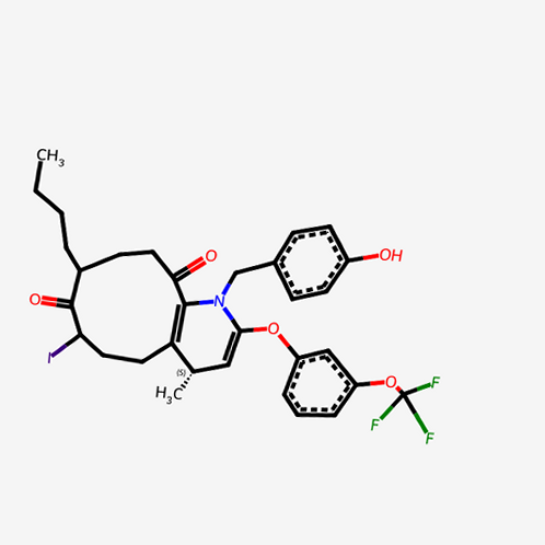 CCCCC1CCC(=O)C2=C(CCC(I)C1=O)[C@@H](C)C=C(Oc1cccc(OC(F)(F)F)c1)N2Cc1ccc(O)cc1